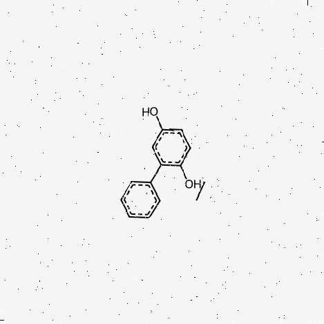 CC.Oc1ccc(O)c(-c2ccccc2)c1